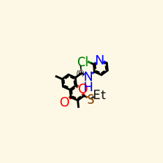 CCSc1oc2c([C@@H](C)Nc3cccnc3Cl)cc(C)cc2c(=O)c1C